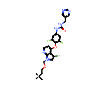 C[Si](C)(C)CCOCn1cc(Cl)c2c(Oc3c(F)cc(NC(=O)NCc4cncnc4)cc3F)ccnc21